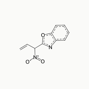 C=CC(c1nc2ccccc2o1)[N+](=O)[O-]